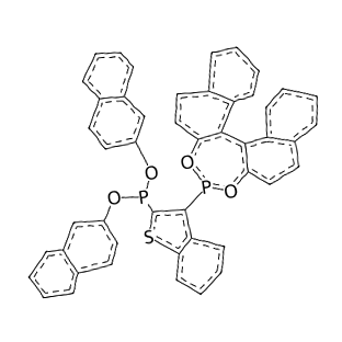 c1ccc2cc(OP(Oc3ccc4ccccc4c3)c3sc4ccccc4c3-p3oc4ccc5ccccc5c4c4c(ccc5ccccc54)o3)ccc2c1